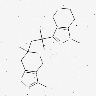 CC(C)c1n[nH]c2c1COC(C)(CC(C)(C)c1nn(C)c3c1COCC3)C2